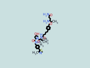 Cc1ncsc1-c1ccc(CNC(=O)[C@@H]2C[C@H](O)CN2C(=O)[C@@H](NC(=O)CCCCc2ccc(CO[C@H](C)[C@@H](N)CCC(N)=O)cc2)C(C)(C)C)cc1